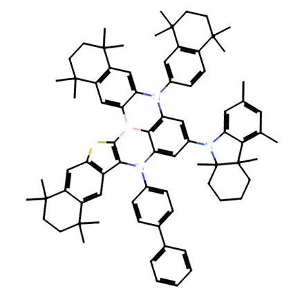 Cc1cc(C)c2c(c1)N(c1cc3c4c(c1)N(c1ccc(-c5ccccc5)cc1)c1c(sc5cc6c(cc15)C(C)(C)CCC6(C)C)B4c1cc4c(cc1N3c1ccc3c(c1)C(C)(C)CCC3(C)C)C(C)(C)CCC4(C)C)C1(C)CCCCC21C